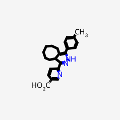 Cc1ccc(C2=C3CCCCCCC3C(c3ccc(C(=O)O)cn3)=NN2)cc1